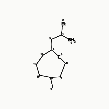 BC(CC)CC1CCCC(C)CCC1